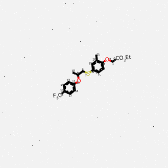 CCOC(=O)COc1ccc(SCC(C)Oc2ccc(C(F)(F)F)cc2)cc1C